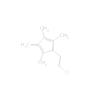 CC1=C(C)C(CCCl)C(C)=C1C